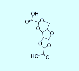 O=C(O)C1OCC2OC3OC(C(=O)O)OC3C2O1